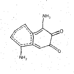 NC1=c2cccc(N)c2=CC(=O)C1=O